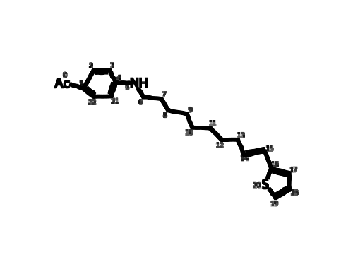 CC(=O)c1ccc(NCCCCCCCC/C=C/c2cccs2)cc1